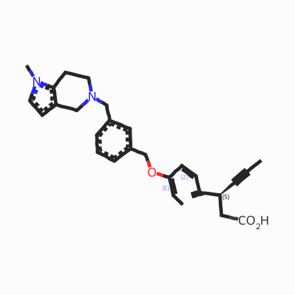 C=C(/C=C\C(=C/C)OCc1cccc(CN2CCc3c(ccn3C)C2)c1)[C@@H](C#CC)CC(=O)O